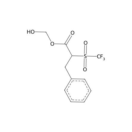 O=C(OCO)C(Cc1ccccc1)S(=O)(=O)C(F)(F)F